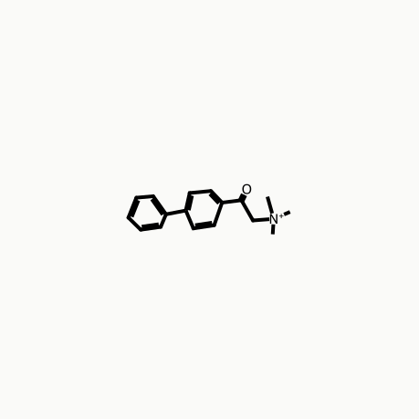 C[N+](C)(C)CC(=O)c1ccc(-c2ccccc2)cc1